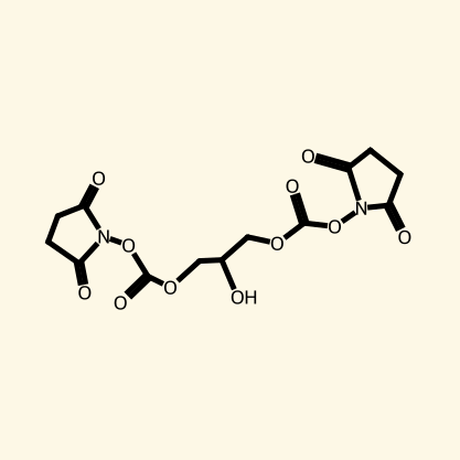 O=C(OCC(O)COC(=O)ON1C(=O)CCC1=O)ON1C(=O)CCC1=O